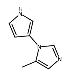 Cc1cncn1-c1cc[nH]c1